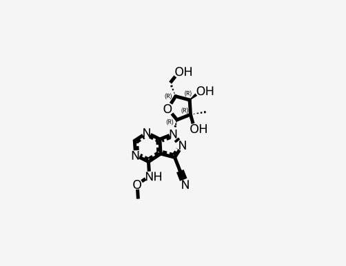 CONc1ncnc2c1c(C#N)nn2[C@@H]1O[C@H](CO)[C@@H](O)[C@@]1(C)O